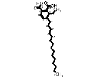 CCCCCCCCCCCCCCCc1ccc(C(=O)O)c(C(=O)O)c1CC